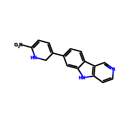 O=[N+]([O-])C1=CC=C(c2ccc3c(c2)[nH]c2ccncc23)CN1